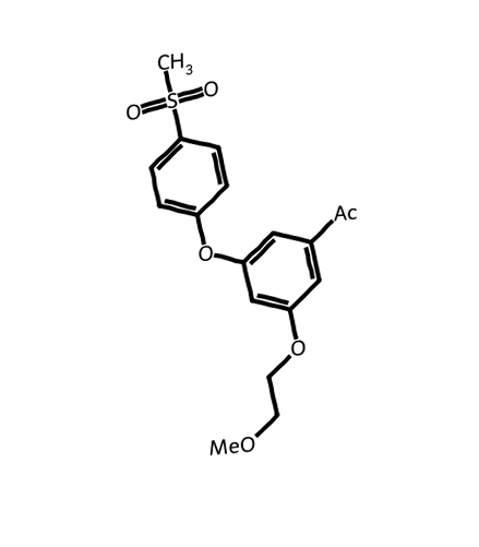 COCCOc1cc(Oc2ccc(S(C)(=O)=O)cc2)cc(C(C)=O)c1